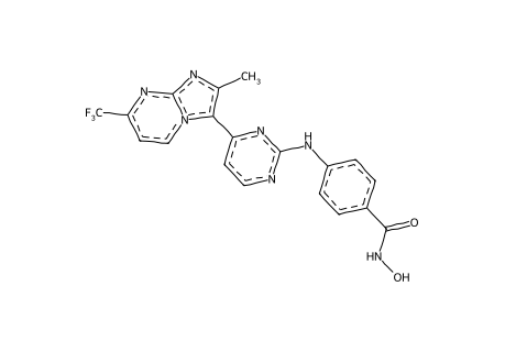 Cc1nc2nc(C(F)(F)F)ccn2c1-c1ccnc(Nc2ccc(C(=O)NO)cc2)n1